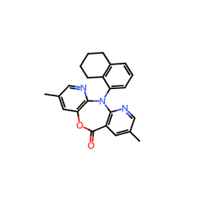 Cc1cnc2c(c1)OC(=O)c1cc(C)cnc1N2c1cccc2c1CCCC2